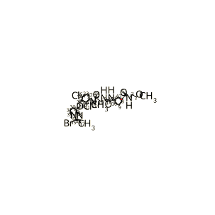 COCCNC(=O)c1cccc(NC(=O)NCC(=O)N(C)c2ccc(Cl)c(COc3cccn4c(Br)c(C)nc34)c2Cl)c1